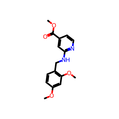 COC(=O)c1ccnc(NCc2ccc(OC)cc2OC)c1